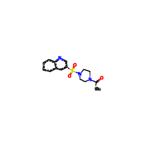 CC(C)(C)C(=O)N1CCN(S(=O)(=O)c2cnc3ccccc3c2)CC1